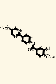 CCCCCCCCCc1cnc(-c2ccc(OC(=O)c3ccc(CCCCCCCCC)c(Cl)c3)cc2)nc1